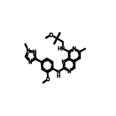 COc1cc(-c2ncn(C)n2)ccc1Nc1ncc2cc(C)nc(NCC(C)(C)OC)c2n1